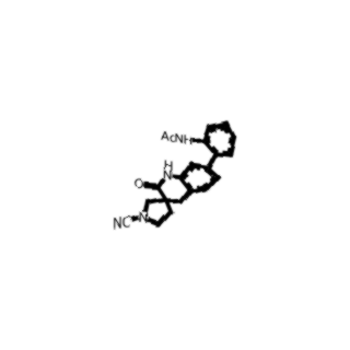 CC(=O)Nc1ccccc1-c1ccc2c(c1)NC(=O)C1(CCN(C#N)C1)C2